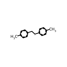 Cc1ccc([CH]Cc2ccc(C)cc2)cc1